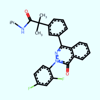 CC(C)NC(=O)C(C)(C)c1cccc(-c2nn(-c3ccc(F)cc3F)c(=O)c3ccccc23)c1